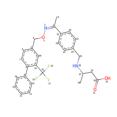 C/C(=N/OCc1ccc(-c2ccccc2)c(C(F)(F)F)c1)c1ccc(CNC(C)CC(=O)O)cc1